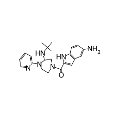 CC(C)(C)NC1CN(C(=O)c2cc3cc(N)ccc3[nH]2)CCN1c1ccccn1